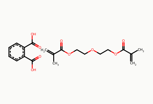 C=C(C)C(=O)OCCOCCOC(=O)C(=C)C.O=C(O)c1ccccc1C(=O)O